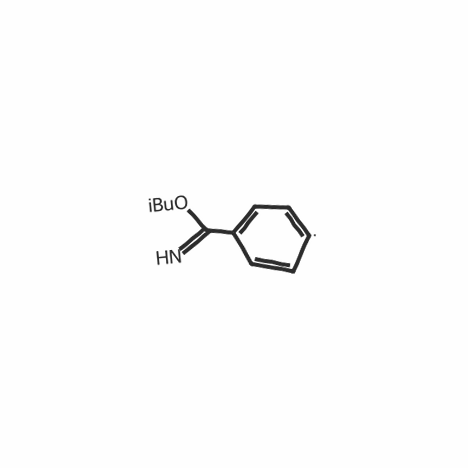 CC(C)COC(=N)c1cc[c]cc1